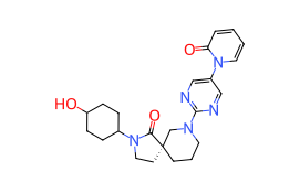 O=C1N(C2CCC(O)CC2)CC[C@]12CCCN(c1ncc(-n3ccccc3=O)cn1)C2